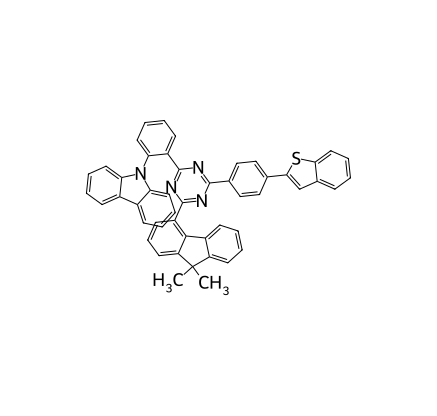 CC1(C)c2ccccc2-c2c(-c3nc(-c4ccc(-c5cc6ccccc6s5)cc4)nc(-c4ccccc4-n4c5ccccc5c5ccccc54)n3)cccc21